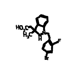 CC1(CC(=O)O)NN(Cc2ccc(Br)cc2F)c2ccccc21